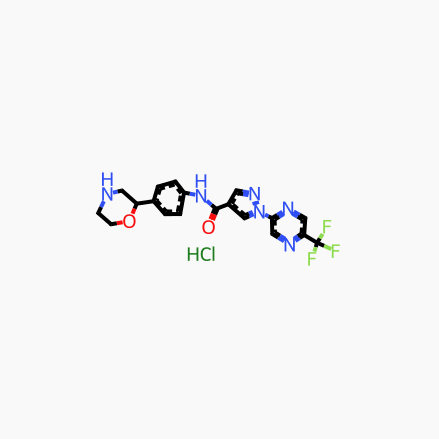 Cl.O=C(Nc1ccc(C2CNCCO2)cc1)c1cnn(-c2cnc(C(F)(F)F)cn2)c1